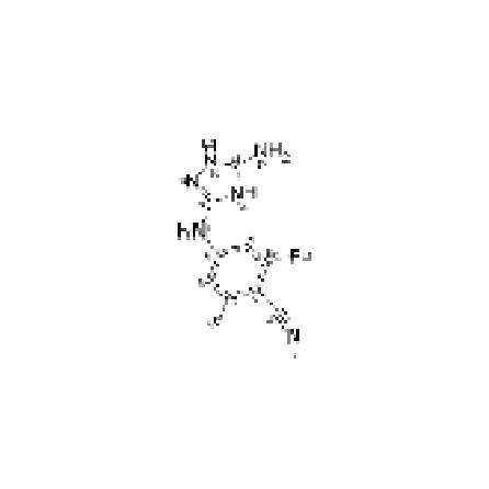 N#Cc1c(F)cc(NC2=NNC(N)N2)cc1F